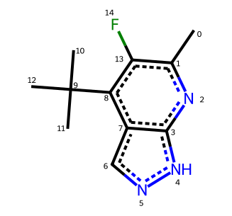 Cc1nc2[nH]ncc2c(C(C)(C)C)c1F